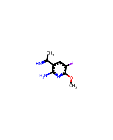 COc1nc(N)c(C(C)=N)cc1I